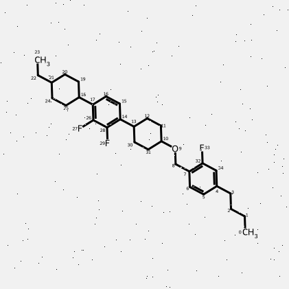 CCCCc1ccc(COC2CCC(c3ccc(C4CCC(CC)CC4)c(F)c3F)CC2)c(F)c1